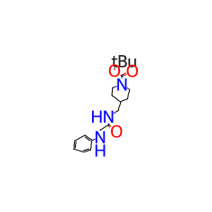 CC(C)(C)OC(=O)N1CCC(CNC(=O)CNc2ccccc2)CC1